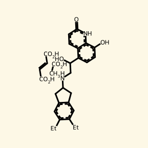 CC(=O)O.CCc1cc2c(cc1CC)CC(NCC(O)c1ccc(O)c3[nH]c(=O)ccc13)C2.O=C(O)C=CC(=O)O